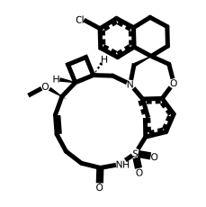 CO[C@@H]1C=CCCC(=O)NS(=O)(=O)c2ccc3c(c2)N(C[C@@H]2CC[C@H]21)C[C@@]1(CCCc2cc(Cl)ccc21)CO3